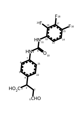 O=CCC(C(=O)O)c1ccc(NC(=O)Nc2ccc(F)c(F)c2F)cc1